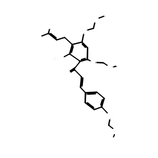 COCOc1ccc(/C=C/C(=O)c2c(OCOC)cc(OCOC)c(CC=C(C)C)c2O)cc1